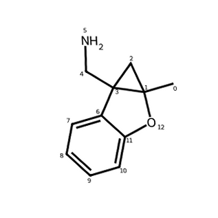 CC12CC1(CN)c1ccccc1O2